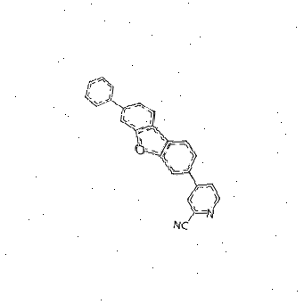 N#Cc1cc(-c2ccc3c(c2)oc2cc(-c4ccccc4)ccc23)ccn1